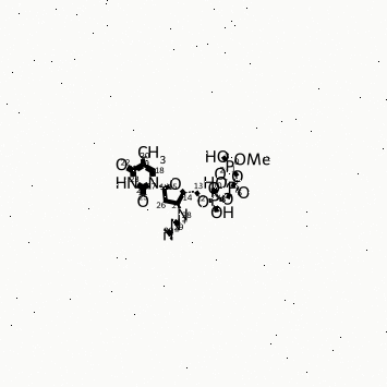 COP(=O)(O)OP(=O)(O)OP(=O)(O)OC[C@H]1O[C@@H](n2cc(C)c(=O)[nH]c2=O)C[C@@H]1N=[N+]=[N-]